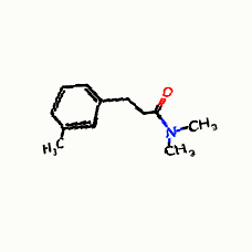 Cc1cccc(CCC(=O)N(C)C)c1